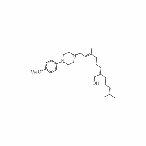 COc1ccc(N2CCN(C/C=C(\C)CC/C=C(\CO)CCC=C(C)C)CC2)cc1